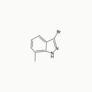 Cc1cccc2c(Br)n[nH]c12